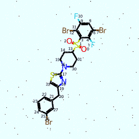 O=S(=O)(c1c(F)c(Br)cc(F)c1Br)C1CCN(c2nc(Cc3cccc(Br)c3)cs2)CC1